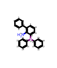 Nc1c(-c2ccccc2)cccc1P(c1ccccc1)c1ccccc1